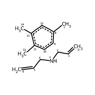 C=CCNCC=C.Cc1ccc(C)c(C)c1